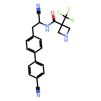 N#Cc1ccc(-c2ccc(CC(C#N)NC(=O)C3(C(F)(F)F)CNC3)cc2)cc1